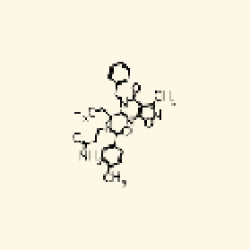 CCC(c1nc2onc(C)c2c(=O)n1Cc1ccccc1)N(CCC(N)=O)C(=O)c1ccc(C)cc1